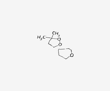 C1CCOC1.CC1(C)CCOO1